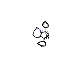 C1=C2/C(c3ccccc3)=NN=C(c3ccccc3)C2CCCCC/1